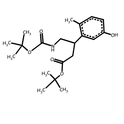 Cc1ccc(O)cc1C(CNC(=O)OC(C)(C)C)CC(=O)OC(C)(C)C